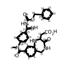 CN(C(=O)c1ccc2c(c1)NC(CC(=O)O)C(=O)NC2)c1ccc(C(=N)NC(=O)OCc2ccccc2)cc1